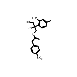 CC(=O)Oc1cc(C)ccc1C(O)(CO)COC(=O)Cc1ccc([N+](=O)[O-])cc1